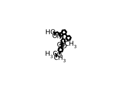 CC(C)Oc1ccc(S(=O)(=O)N2C[C@H](n3nc(CC(=O)O)c4cccc(-c5ccccc5)c43)C[C@@H]2C)cc1